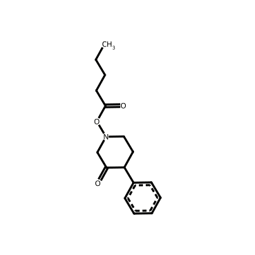 CCCCC(=O)ON1CCC(c2ccccc2)C(=O)C1